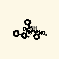 Cc1ccc(-c2ccccc2)cc1NC(=O)C(NC(=S)Nc1ccccc1[N+](=O)[O-])c1ccccc1